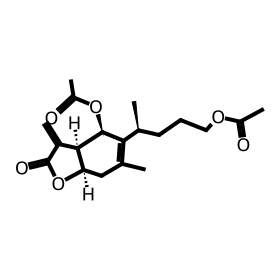 C=C1C(=O)O[C@@H]2CC(C)=C([C@@H](C)CCCOC(C)=O)[C@H](OC(C)=O)[C@H]12